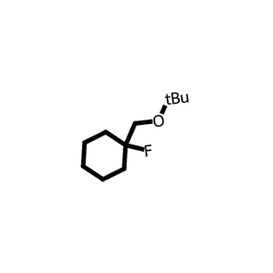 CC(C)(C)OCC1(F)CCCCC1